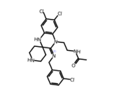 CC(=O)NCCN1/C(=N/Cc2cccc(Cl)c2)C2(CCNCC2)Nc2cc(Cl)c(Cl)cc21